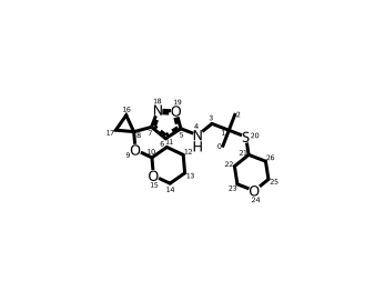 CC(C)(CNc1cc(C2(OC3CCCCO3)CC2)no1)SC1CCOCC1